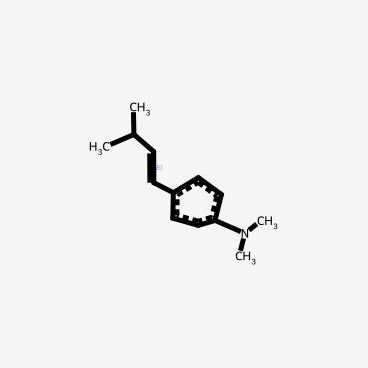 CC(C)/C=C/c1ccc(N(C)C)cc1